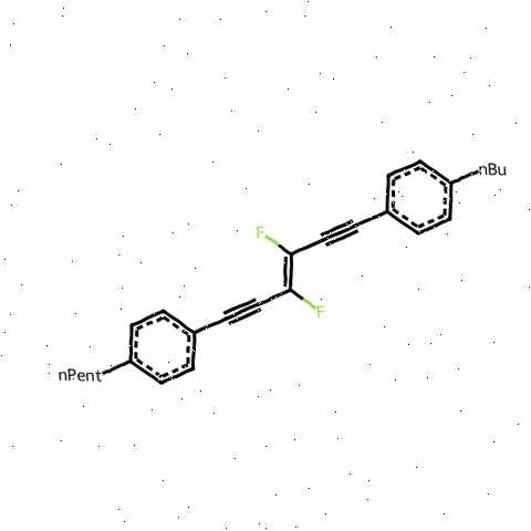 CCCCCc1ccc(C#C/C(F)=C(\F)C#Cc2ccc(CCCC)cc2)cc1